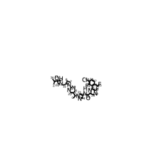 CC(c1cnc(N2CCC2CN2CC(O)(C(C)C)C2)nc1)n1cc(NC(=O)c2cncc(-c3c(C(F)F)ccc(Cl)c3F)n2)cn1